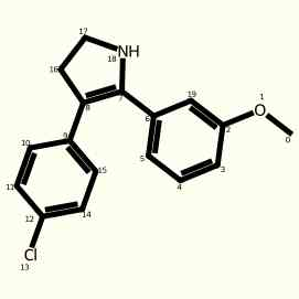 COc1cccc(C2=C(c3ccc(Cl)cc3)CCN2)c1